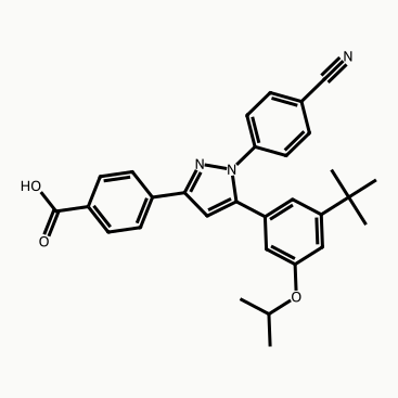 CC(C)Oc1cc(-c2cc(-c3ccc(C(=O)O)cc3)nn2-c2ccc(C#N)cc2)cc(C(C)(C)C)c1